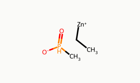 C[CH2][Zn+].C[PH](=O)[O-]